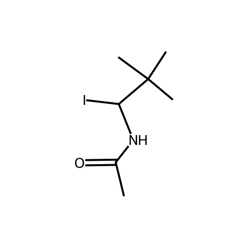 CC(=O)NC(I)C(C)(C)C